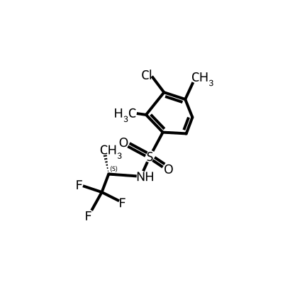 Cc1ccc(S(=O)(=O)N[C@@H](C)C(F)(F)F)c(C)c1Cl